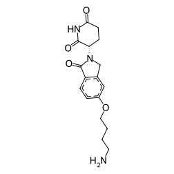 NCCCCOc1ccc2c(c1)CN([C@H]1CCC(=O)NC1=O)C2=O